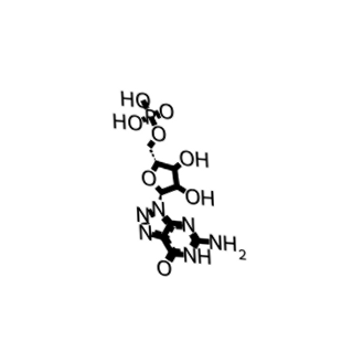 Nc1nc2c(nnn2[C@@H]2O[C@H](COP(=O)(O)O)C(O)C2O)c(=O)[nH]1